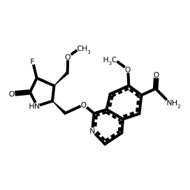 COC[C@@H]1C(F)C(=O)N[C@@H]1COc1nccc2cc(C(N)=O)c(OC)cc12